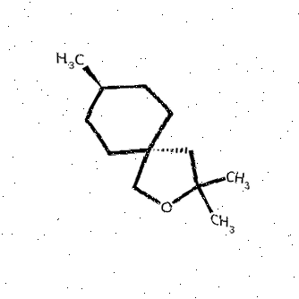 CC1(C)C[C@]2(CC[C@H](C)CC2)CO1